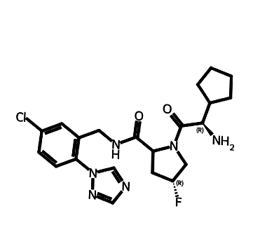 N[C@@H](C(=O)N1C[C@H](F)CC1C(=O)NCc1cc(Cl)ccc1-n1cncn1)C1CCCC1